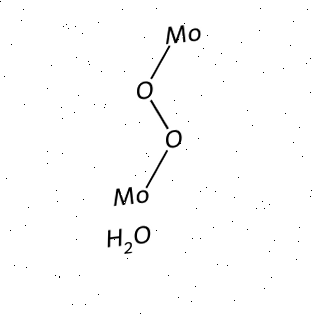 O.[Mo][O][O][Mo]